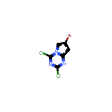 Clc1nc(Cl)n2cc(Br)cc2n1